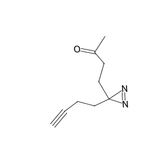 C#CCCC1(CCC(C)=O)N=N1